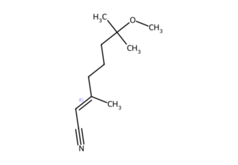 COC(C)(C)CCC/C(C)=C/C#N